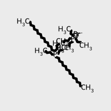 CCCCCCCCCCCCCCCC[P+](CCCC)(CCCC)C(CCCC)CCCCCCCCCCCCCCC.CCCC[P+](CCCC)(CCCC)CCCC.[Br-].[Cl-]